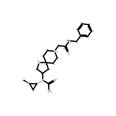 C[C@@H]1C[C@H]1N(C(=O)C(F)(F)F)C1COC2(CCN(CC(=O)NCc3ccccc3)CC2)C1